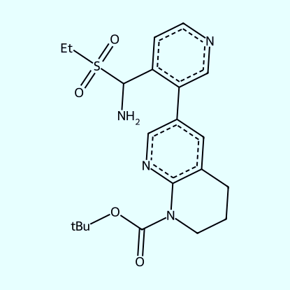 CCS(=O)(=O)C(N)c1ccncc1-c1cnc2c(c1)CCCN2C(=O)OC(C)(C)C